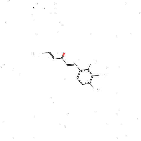 COc1ccc(/C=C/C(=O)/C=C/C(=O)O)c(OC)c1OC